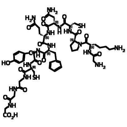 NCCCC[C@H](NC(=O)CN)C(=O)N1CCC[C@H]1C(=O)N[C@@H](CS)C(=O)N[C@@H](CC(N)=O)C(=O)N[C@@H](CCC(N)=O)C(=O)N[C@@H](Cc1ccccc1)C(=O)N[C@@H](Cc1ccc(O)cc1)C(=O)N[C@@H](CS)C(=O)NCC(=O)NCC(=O)NCC(=O)O